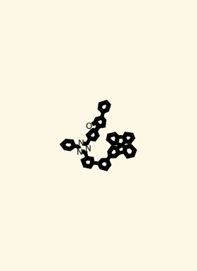 c1ccc(-c2ccc3c(c2)oc2cc(-c4nc(-c5ccccc5)nc(-c5cccc(-c6cccc(-c7ccc8c(c7)-c7ccccc7C87c8ccccc8-c8ccccc87)c6)c5)n4)ccc23)cc1